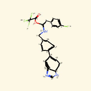 O=C(OC(Cc1ccc(F)cc1)NCc1ccc(-c2ccc3[nH]cnc3c2)cc1)C(F)(F)F